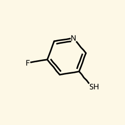 Fc1cncc(S)c1